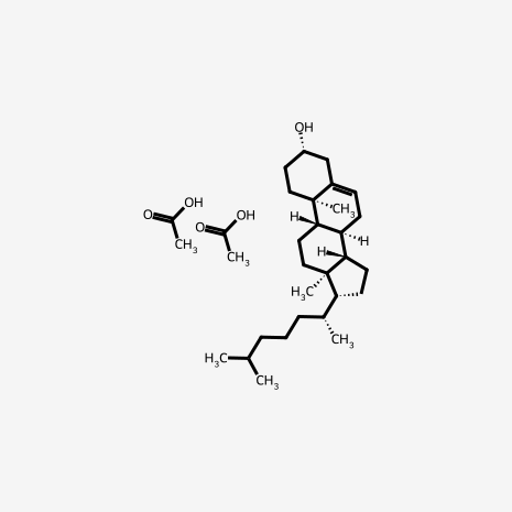 CC(=O)O.CC(=O)O.CC(C)CCC[C@@H](C)[C@H]1CC[C@H]2[C@@H]3CC=C4C[C@@H](O)CC[C@]4(C)[C@H]3CC[C@]12C